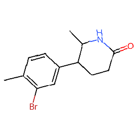 Cc1ccc(C2CCC(=O)NC2C)cc1Br